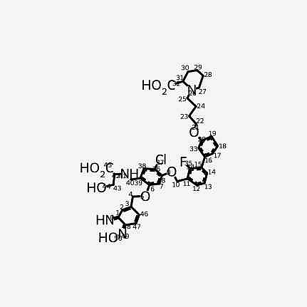 N=C1C=C(COc2cc(OCc3cccc(-c4cccc(OCCCCN5CCCCC5C(=O)O)c4)c3F)c(Cl)cc2CNC(CO)C(=O)O)C=C/C1=N/O